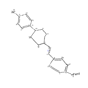 CCCCCc1ccc(/C=C/C2CCC(c3ccc(C#N)cc3)CC2)cc1